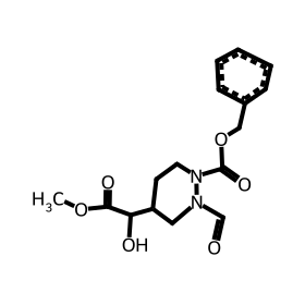 COC(=O)C(O)C1CCN(C(=O)OCc2ccccc2)N(C=O)C1